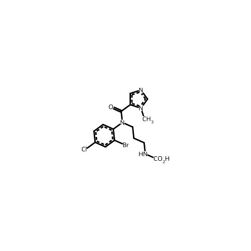 Cn1cncc1C(=O)N(CCCNC(=O)O)c1ccc(Cl)cc1Br